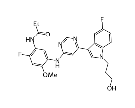 CCC(=O)Nc1cc(Nc2cc(-c3cn(CCCO)c4ccc(F)cc34)ncn2)c(OC)cc1F